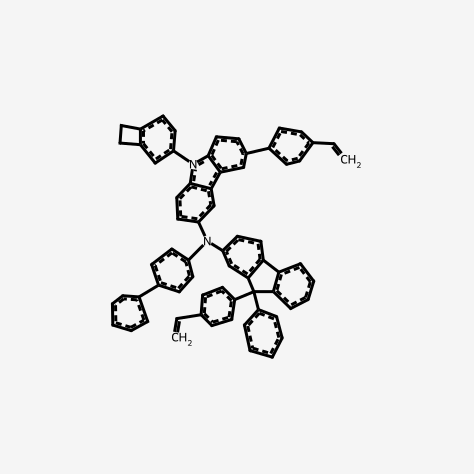 C=Cc1ccc(-c2ccc3c(c2)c2cc(N(c4ccc(-c5ccccc5)cc4)c4ccc5c(c4)C(c4ccccc4)(c4ccc(C=C)cc4)c4ccccc4-5)ccc2n3-c2ccc3c(c2)CC3)cc1